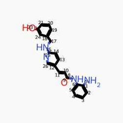 Nc1ccccc1NC(=O)C=Cc1ccc(NCc2cccc(O)c2)nc1